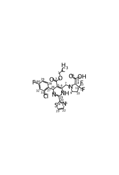 CCOC(=O)C1=C(CN2CCC(F)(F)C2C(=O)O)NC(c2nccs2)=NC1c1ccc(F)cc1Cl